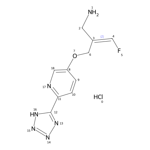 Cl.NC/C(=C/F)COc1ccc(-c2nnn[nH]2)nc1